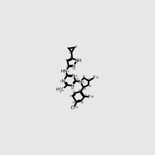 Cc1nc(Nc2cc(C3CC3)[nH]n2)nc(N2CC(F)CC2c2ccc(Cl)cc2F)n1